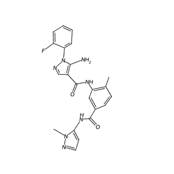 Cc1ccc(C(=O)Nc2ccnn2C)cc1NC(=O)c1cnn(-c2ccccc2F)c1N